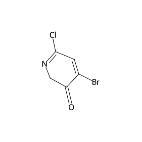 O=C1CN=C(Cl)C=C1Br